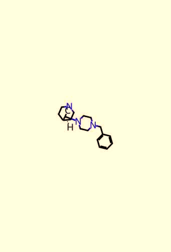 c1ccc(CN2CCN([C@@H]3CN4CCC3CC4)CC2)cc1